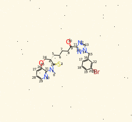 CN1C(=S)[C@@H](CCCCC(=O)c2ncn(Cc3cccc(Br)c3)n2)COc2cccnc21